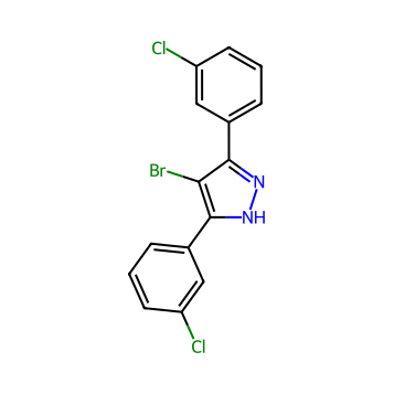 Clc1cccc(-c2n[nH]c(-c3cccc(Cl)c3)c2Br)c1